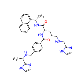 CC(NCc1ccc(C(=O)N[C@@H](CCCNCc2ncc[nH]2)C(=O)N[C@@H](C)c2cccc3ccccc23)cc1)c1ncc[nH]1